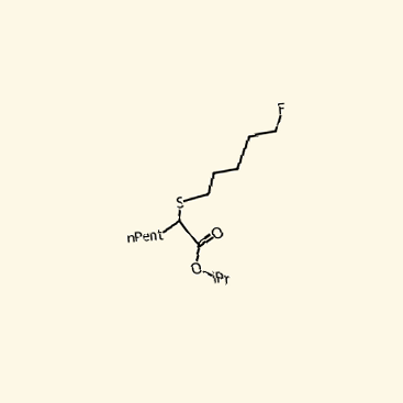 CCCCCC(SCCCCCF)C(=O)OC(C)C